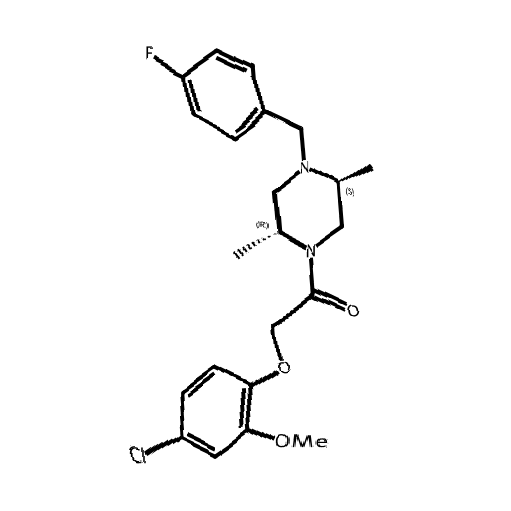 COc1cc(Cl)ccc1OCC(=O)N1C[C@H](C)N(Cc2ccc(F)cc2)C[C@H]1C